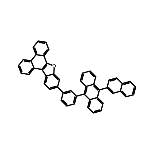 c1cc(-c2ccc3c(c2)oc2c4ccccc4c4ccccc4c32)cc(-c2c3ccccc3c(-c3ccc4ccccc4c3)c3ccccc23)c1